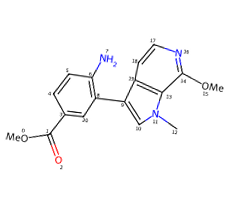 COC(=O)c1ccc(N)c(-c2cn(C)c3c(OC)nccc23)c1